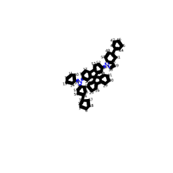 c1ccc(-c2ccc(N(c3ccccc3)c3ccc4c(c3)C3(c5ccccc5-c5ccccc53)c3cc(-n5ccc6cc(-c7ccccc7)ccc65)ccc3-4)cc2)cc1